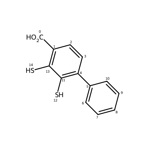 O=C(O)c1ccc(-c2ccccc2)c(S)c1S